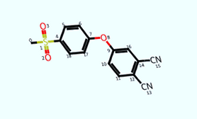 CS(=O)(=O)c1ccc(Oc2ccc(C#N)c(C#N)c2)cc1